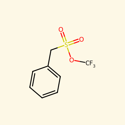 O=S(=O)(Cc1ccccc1)OC(F)(F)F